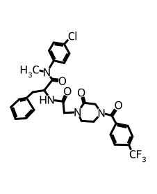 CN(C(=O)C(Cc1ccccc1)NC(=O)CN1CCN(C(=O)c2ccc(C(F)(F)F)cc2)CC1=O)c1ccc(Cl)cc1